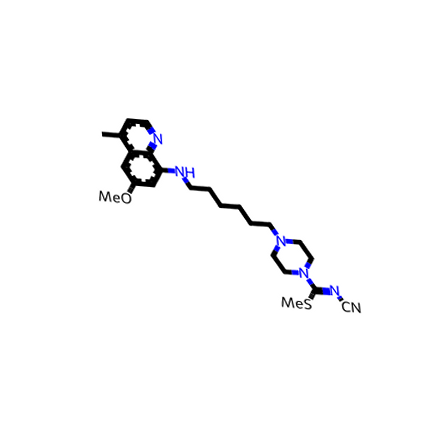 COc1cc(NCCCCCCN2CCN(C(=NC#N)SC)CC2)c2nccc(C)c2c1